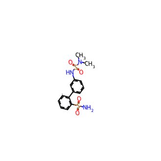 CN(C)S(=O)(=O)Nc1cccc(-c2[c]cccc2S(N)(=O)=O)c1